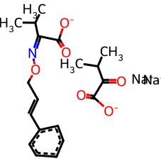 CC(C)C(=NOCC=Cc1ccccc1)C(=O)[O-].CC(C)C(=O)C(=O)[O-].[Na+].[Na+]